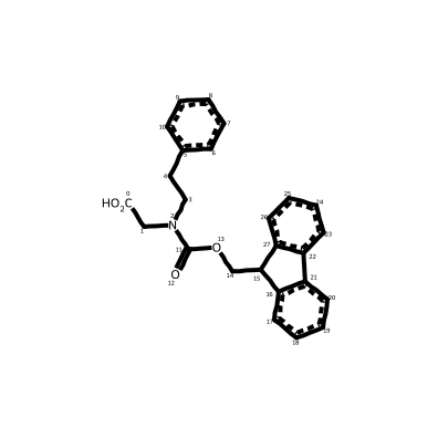 O=C(O)CN(CCc1ccccc1)C(=O)OCC1c2ccccc2-c2ccccc21